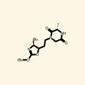 CCC(C)[C@@H]1N=C(OC(C)(C)C)OC1CCN1CC(=O)N[C@@H](C)C1=O